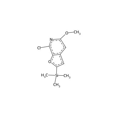 COc1cc2cc([Si](C)(C)C)oc2c(Cl)n1